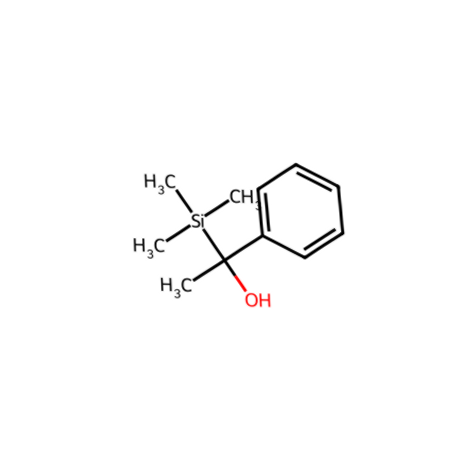 CC(O)(c1ccccc1)[Si](C)(C)C